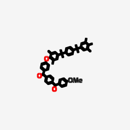 COc1ccc(C(=O)c2ccc(C(=O)c3ccc(Oc4c(C)cc(C(C)(C)c5ccc(C(C)(C)c6cc(C)c(C)c(C)c6)cc5)cc4C)cc3)cc2)cc1